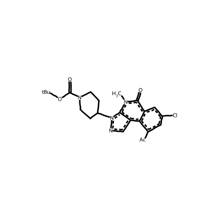 CC(=O)c1cc(Cl)cc2c(=O)n(C)c3c(cnn3C3CCN(C(=O)OC(C)(C)C)CC3)c12